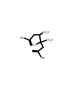 C=C(CCCC)CC(C(=O)O)C(CC(=C)CCCC)(C(=O)O)S(=O)(=O)O